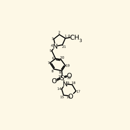 CC1CCN(Cc2ccc(S(=O)(=O)N3CCOCC3)cc2)C1